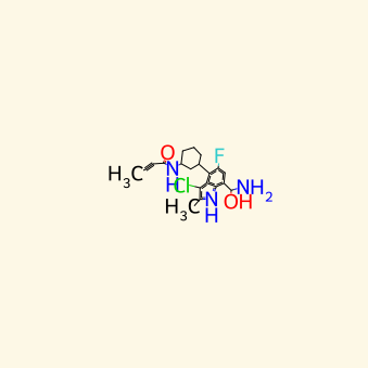 CC#CC(=O)NC1CCCC(c2c(F)cc(C(N)O)c3[nH]c(C)c(Cl)c23)C1